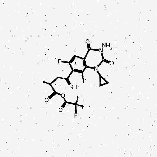 Cc1c(C(=N)CC(C)C(=O)OC(=O)C(F)(F)F)c(F)cc2c(=O)n(N)c(=O)n(C3CC3)c12